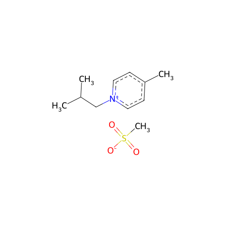 CS(=O)(=O)[O-].Cc1cc[n+](CC(C)C)cc1